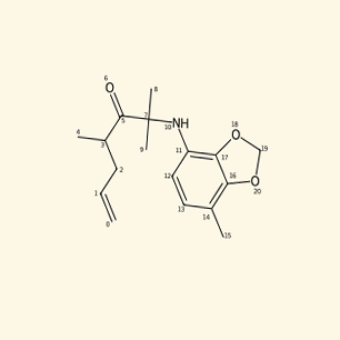 C=CCC(C)C(=O)C(C)(C)Nc1ccc(C)c2c1OCO2